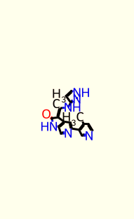 CC(Nc1cc[nH]n1)=C1C(=O)Nc2cnc(-c3cnccc3C)cc21